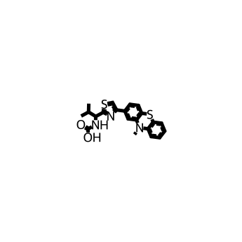 CC(C)C(NC(=O)O)c1nc(-c2ccc3c(c2)N(C)c2ccccc2S3)cs1